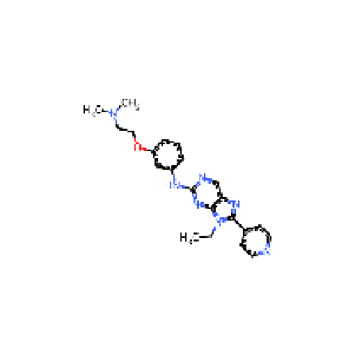 CCn1c(-c2ccncc2)nc2cnc(Nc3cccc(OCCN(C)C)c3)nc21